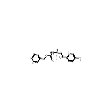 C[C@@](CCc1ccc(O)cn1)(NC(=O)OCc1ccccc1)C(=O)O